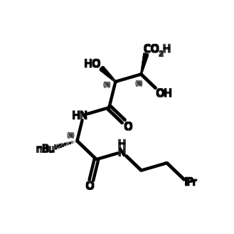 CCCC[C@H](NC(=O)[C@@H](O)[C@H](O)C(=O)O)C(=O)NCCC(C)C